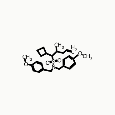 C=CCC(C)C(C1CCC1)S(=O)(=O)N(Cc1ccc(OC)cc1)Cc1ccc(OC)cc1